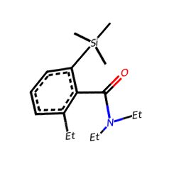 CCc1cccc([Si](C)(C)C)c1C(=O)N(CC)CC